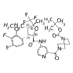 COc1c([C@H]2[C@H](C(=O)Nc3ccnc(C(=O)N4CC5(CCN5C(=O)OC(C)(C)C)C4)c3)O[C@@](C)(C(F)(F)F)[C@H]2C)ccc(F)c1F